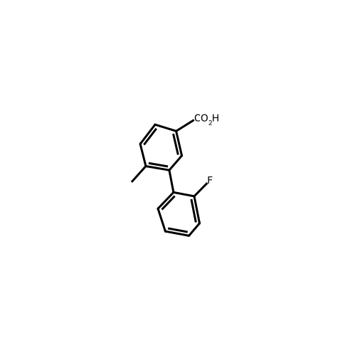 Cc1ccc(C(=O)O)cc1-c1ccccc1F